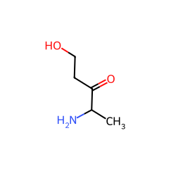 CC(N)C(=O)CCO